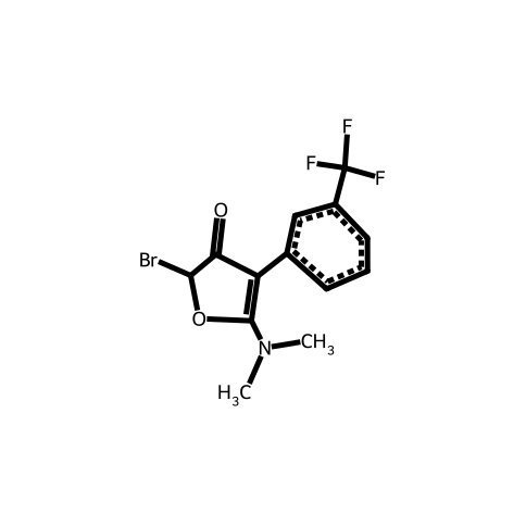 CN(C)C1=C(c2cccc(C(F)(F)F)c2)C(=O)C(Br)O1